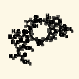 C=CC(=O)N(C)[C@@H]1C[C@H]1N(C)C(=O)N(C)[C@H](C(=O)N[C@H]1Cc2nc(cs2)-c2ccc3c(c2)c(c(-c2cccnc2[C@H](C)OC)n3CC)CC(C)(C)COC(=O)[C@@]2([SiH3])CCCN(N2)C1=O)C(C)C